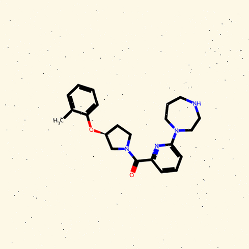 Cc1ccccc1O[C@H]1CCN(C(=O)c2cccc(N3CCCNCC3)n2)C1